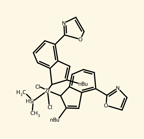 CCCCC1=Cc2c(-c3ncco3)cccc2[CH]1[Zr]([Cl])([Cl])([CH]1C(CCCC)=Cc2c(-c3ncco3)cccc21)[SiH](C)C